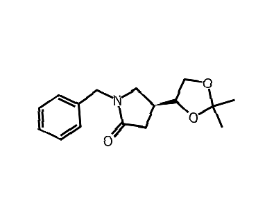 CC1(C)OCC([C@H]2CC(=O)N(Cc3ccccc3)C2)O1